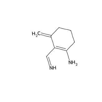 C=C1CCCC(N)=C1C=N